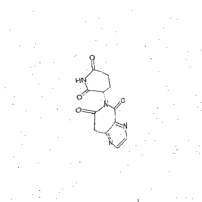 O=C1CCC(N2C(=O)Cc3nccnc3C2=O)C(=O)N1